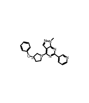 Cn1ncc2c(N3CC[C@@H](Oc4ccccc4)C3)nc(-c3cccnc3)nc21